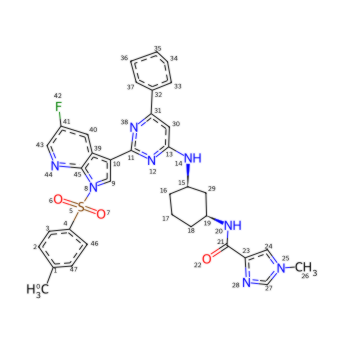 Cc1ccc(S(=O)(=O)n2cc(-c3nc(N[C@@H]4CCC[C@H](NC(=O)c5cn(C)cn5)C4)cc(-c4ccccc4)n3)c3cc(F)cnc32)cc1